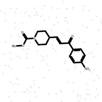 CC(C)(C)OC(=O)N1CCC(C=CC(=O)c2ccc([N+](=O)[O-])cc2)CC1